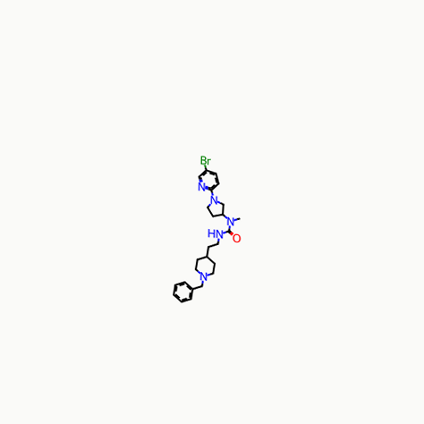 CN(C(=O)NCCC1CCN(Cc2ccccc2)CC1)C1CCN(c2ccc(Br)cn2)C1